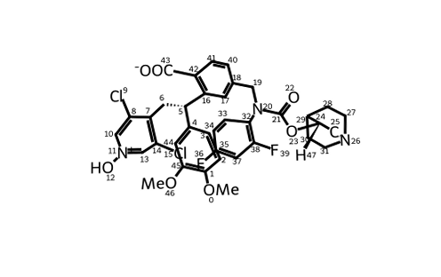 COc1ccc([C@H](Cc2c(Cl)c[n+](O)cc2Cl)c2cc(CN(C(=O)O[C@H]3CN4CCC3CC4)c3ccc(F)cc3F)ccc2C(=O)[O-])cc1OC